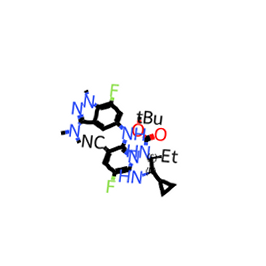 CC[C@H](NC(=O)OC(C)(C)C)[C@H](Nc1nc(Nc2cc(F)c3c(c2)c(N(C)C)nn3C)c(C#N)cc1F)C1CC1